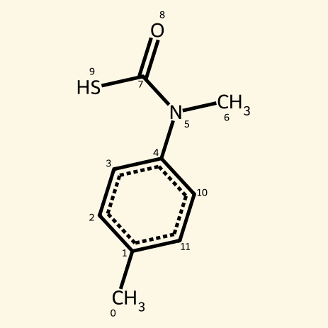 Cc1ccc(N(C)C(=O)S)cc1